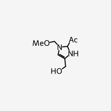 COCN1C=C(CO)NC1C(C)=O